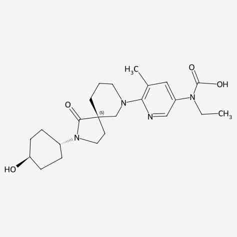 CCN(C(=O)O)c1cnc(N2CCC[C@]3(CCN([C@H]4CC[C@H](O)CC4)C3=O)C2)c(C)c1